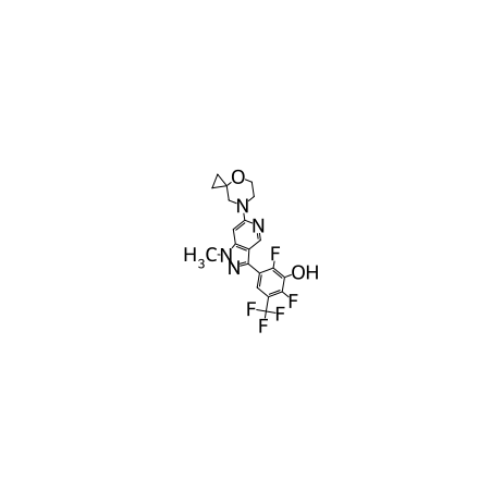 Cn1nc(-c2cc(C(F)(F)F)c(F)c(O)c2F)c2cnc(N3CCOC4(CC4)C3)cc21